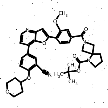 COc1cc(C(=O)N2CC3(CCCN3C(=O)OC(C)(C)C)C2)ccc1-c1cc2nccc(-c3ccc(OC4CCOCC4)c(C#N)c3)c2o1